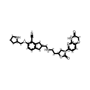 N#Cc1c(OCC2CCCN2)ccc2c1CC(CNCCC1CN(c3ccc4c(n3)NC(=O)CO4)C(=O)O1)C2